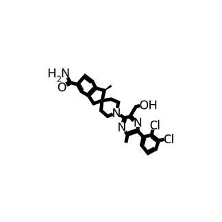 Cc1nc(N2CCC3(CC2)Cc2cc(C(N)=O)ccc2[C@H]3C)c(CO)nc1-c1cccc(Cl)c1Cl